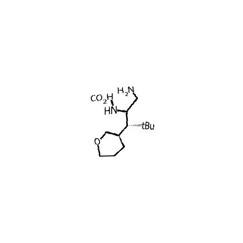 CC(C)(C)[C@@H](C(CN)NC(=O)O)[C@H]1CCCOC1